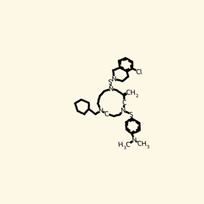 C=C1CN(Sc2ccc(N(C)C)cc2)CCCN(CC2CCCCC2)CCCN(SN2CCc3c(Cl)cccc3C2)C1